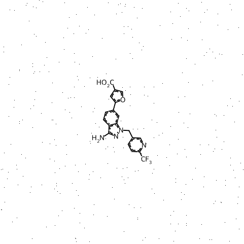 Nc1nn(Cc2ccc(C(F)(F)F)nc2)c2cc(-c3cc(C(=O)O)co3)ccc12